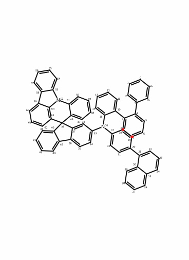 c1ccc(-c2ccccc2-c2ccccc2N(c2ccc(-c3cccc4ccccc34)cc2)c2ccc3c(c2)C2(c4ccccc4-3)c3ccccc3-n3c4ccccc4c4cccc2c43)cc1